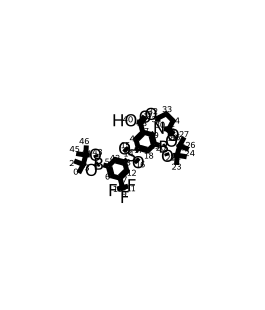 CC1(C)OB(c2cc(C(F)(F)F)cc(S(=O)(=O)c3cc(B4OC(C)(C)C(C)(C)O4)c(N4C(=O)CCC4=O)c(C(=O)O)c3)c2)OC1(C)C